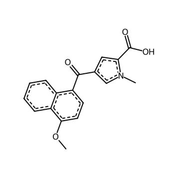 COc1ccc(C(=O)c2cc(C(=O)O)n(C)c2)c2ccccc12